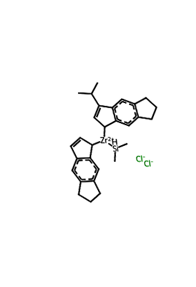 CC(C)C1=C[CH]([Zr+2]([CH]2C=Cc3cc4c(cc32)CCC4)[SiH](C)C)c2cc3c(cc21)CCC3.[Cl-].[Cl-]